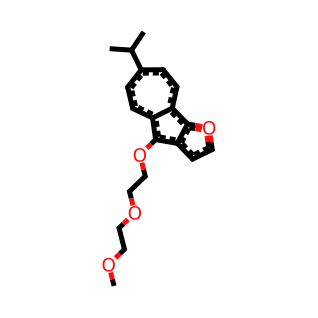 COCCOCCOc1c2ccc(C(C)C)ccc-2c2occc12